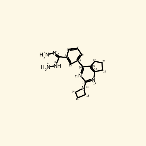 N/N=C(\NN)c1cccc(-c2nc(N3CCC3)nc3c2CCC3)c1